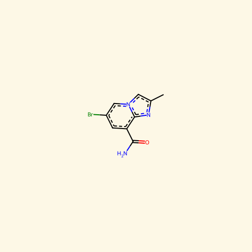 Cc1cn2cc(Br)cc(C(N)=O)c2n1